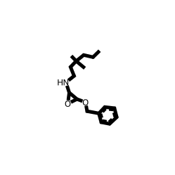 CCCC(C)(C)CCNC1OC1OCc1ccccc1